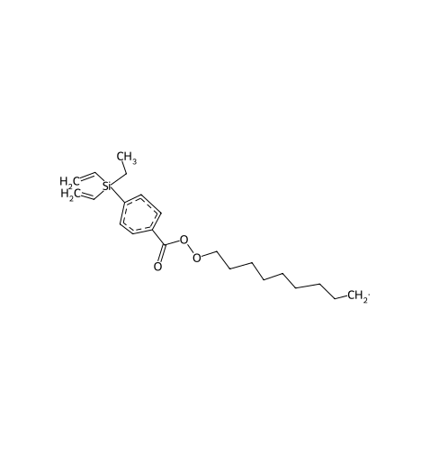 [CH2]CCCCCCCCOOC(=O)c1ccc([Si](C=C)(C=C)CC)cc1